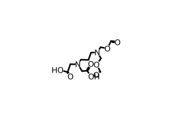 O=COCN(CCCN(CC(=O)O)CC(=O)O)COC=O